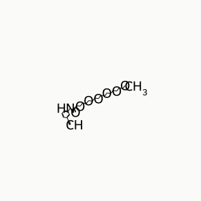 C#Cc1cccc(NC(=O)COCCOCCOCCOCCOCCOC)c1